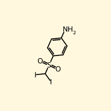 Nc1ccc(S(=O)(=O)C(I)I)cc1